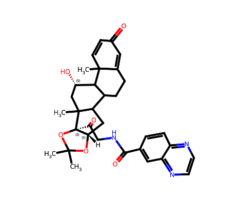 CC1(C)O[C@H]2CC3C4CCC5=CC(=O)C=CC5(C)C4[C@@H](O)CC3(C)[C@]2(C(=O)CNC(=O)c2ccc3nccnc3c2)O1